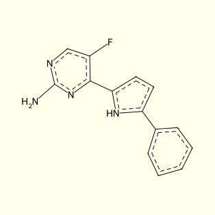 Nc1ncc(F)c(-c2ccc(-c3ccccc3)[nH]2)n1